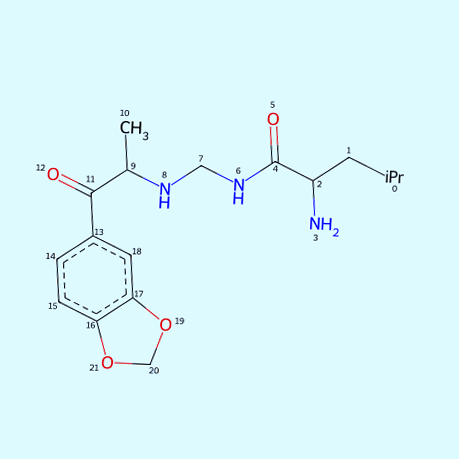 CC(C)CC(N)C(=O)NCNC(C)C(=O)c1ccc2c(c1)OCO2